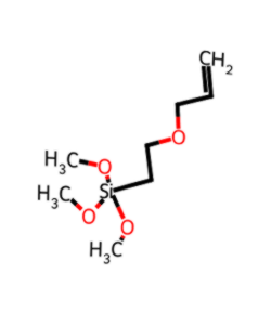 C=CCOCC[Si](OC)(OC)OC